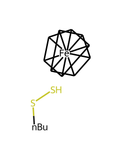 CCCCSS.[CH]12[CH]3[CH]4[CH]5[CH]1[Fe]23451678[CH]2[CH]1[CH]6[CH]7[CH]28